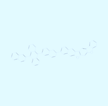 c1ccc2cc(-c3c4ccccc4c(-c4ccc5cc(-c6ccc7cc8c(cc7c6)oc6cc7oc9ccccc9c7cc68)ccc5c4)c4ccccc34)ccc2c1